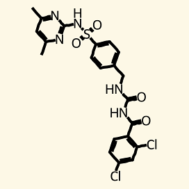 Cc1cc(C)nc(NS(=O)(=O)c2ccc(CNC(=O)NC(=O)c3ccc(Cl)cc3Cl)cc2)n1